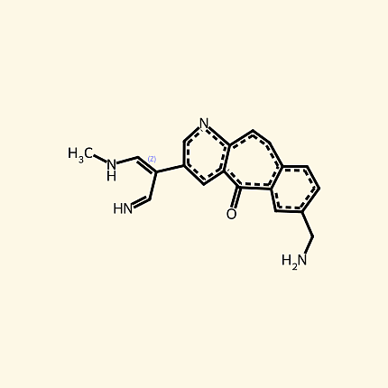 CN/C=C(\C=N)c1cnc2ccc3ccc(CN)cc3c(=O)c2c1